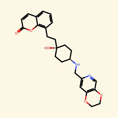 O=c1ccc2cccc(CC[C@]3(O)CC[C@@H](NCc4cc5c(cn4)OCCO5)CC3)c2o1